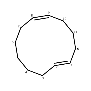 [CH]1/C=C/CCCCC/C=C\CC1